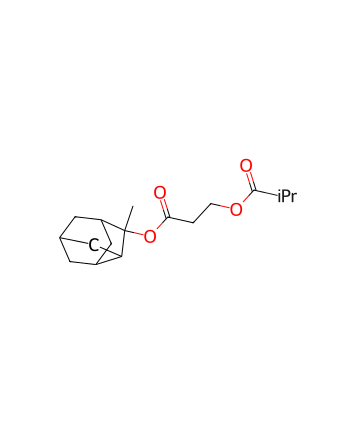 CC(C)C(=O)OCCC(=O)OC1(C)C2CC3CC(C2)C1C3